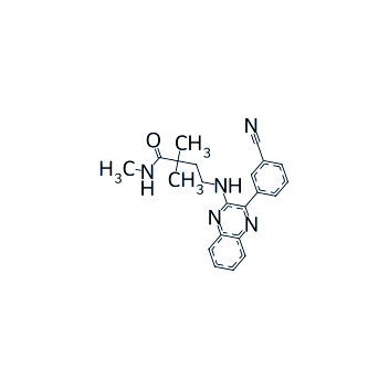 CNC(=O)C(C)(C)CCNc1nc2ccccc2nc1-c1cccc(C#N)c1